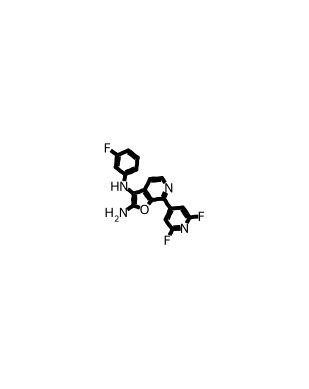 Nc1oc2c(-c3cc(F)nc(F)c3)nccc2c1Nc1cccc(F)c1